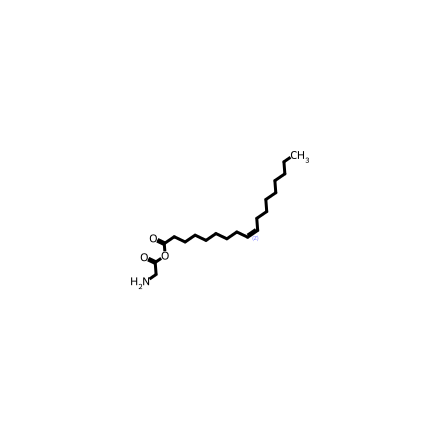 CCCCCCCC/C=C\CCCCCCCC(=O)OC(=O)CN